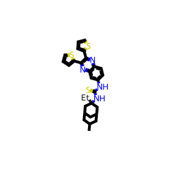 CCC1(NC(=S)Nc2ccc3nc(-c4cccs4)c(-c4cccs4)nc3c2)CC2CC(C)CC(C2)C1